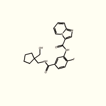 O=C(NCC1(CO)CCCC1)c1ccc(F)c(NC(=O)c2cnc3ccccn23)c1